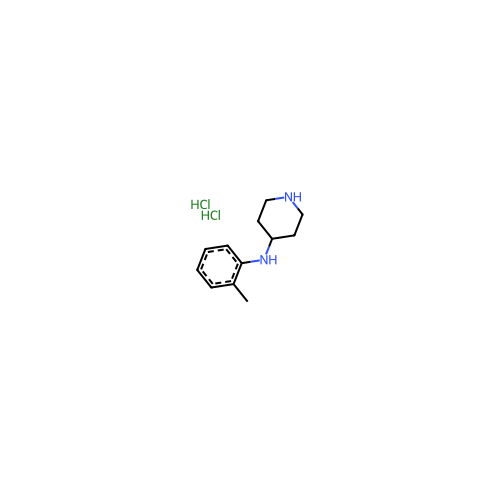 Cc1ccccc1NC1CCNCC1.Cl.Cl